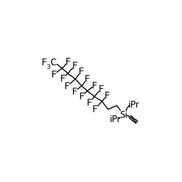 C#C[Si](CCC(F)(F)C(F)(F)C(F)(F)C(F)(F)C(F)(F)C(F)(F)C(F)(F)C(F)(F)F)(C(C)C)C(C)C